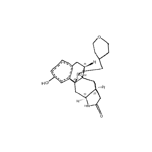 O=C1C[C@@H]2C[C@@]3(O)[C@H]4Cc5ccc(O)cc5[C@@]3(CCN4CC3CCOCC3)C[C@@H]2N1